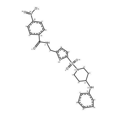 O=C(NCc1ccc(S(=O)(=O)N2CCC(Nc3ccccc3)CC2)s1)c1ccc([N+](=O)[O-])cc1